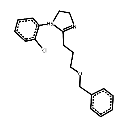 Clc1ccccc1[SH]1CCN=C1CCCOCc1ccccc1